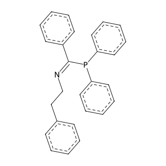 c1ccc(CCN=C(c2ccccc2)P(c2ccccc2)c2ccccc2)cc1